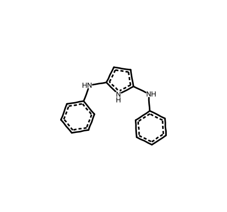 c1ccc(Nc2ccc(Nc3ccccc3)[nH]2)cc1